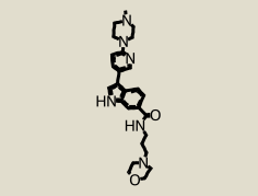 CN1CCN(c2ccc(-c3c[nH]c4cc(C(=O)NCCCN5CCOCC5)ccc34)cn2)CC1